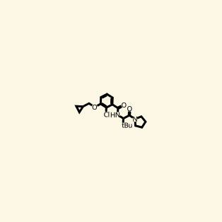 CC(C)(C)C(NC(=O)c1cccc(OCC2CC2)c1Cl)C(=O)N1CCCC1